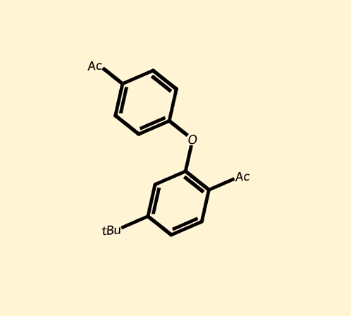 CC(=O)c1ccc(Oc2cc(C(C)(C)C)ccc2C(C)=O)cc1